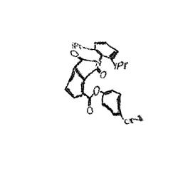 CC(C)c1cccc(C(C)C)c1N1C(=O)c2cccc(C(=O)Oc3ccc(C#N)cc3)c2C1=O